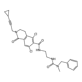 CN(Cc1ccccc1)C(=O)NCCNC(=O)c1c(Cl)cc2c(c1Cl)CCN(CC#CC1CC1)C2=O